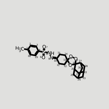 Cc1ccc(S(=O)(=O)NN=C2CCC3(CC2)OOC2(O3)C3CC4CC(C3)CC2C4)cc1